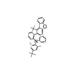 Cc1cc(C(C)(C)C)cc(C)c1N(c1ccccc1)c1cccc2c1-c1ccc3oc4ccccc4c3c1C2(C)C